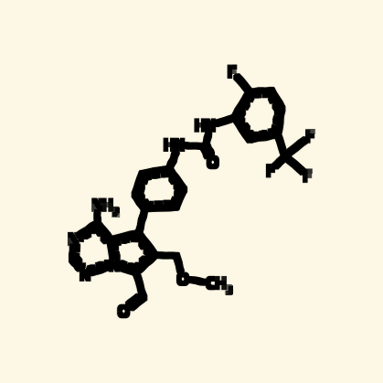 COCc1c(-c2ccc(NC(=O)Nc3cc(C(F)(F)F)ccc3F)cc2)c2c(N)ncnn2c1C=O